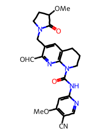 COc1cc(NC(=O)N2CCCc3cc(CN4CCC(OC)C4=O)c(C=O)nc32)ncc1C#N